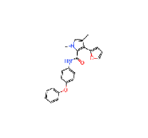 Cc1cn(C)c(C(=O)Nc2ccc(Oc3ccccc3)cc2)c1-c1ccco1